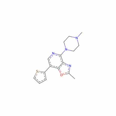 Cc1nc2c(N3CCN(C)CC3)ncc(-c3cccs3)c2o1